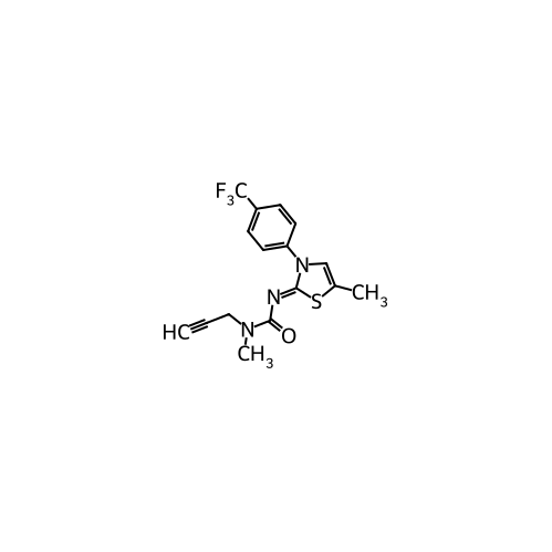 C#CCN(C)C(=O)N=c1sc(C)cn1-c1ccc(C(F)(F)F)cc1